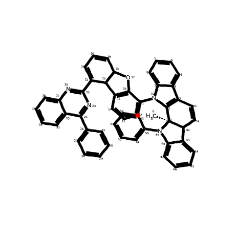 C[C@]12c3c(c4ccccc4n3-c3cccc4c3OC3C=CC=C(c5nc(-c6ccccc6)c6ccccc6n5)C43)C=CC1c1ccccc1N2c1ccccc1